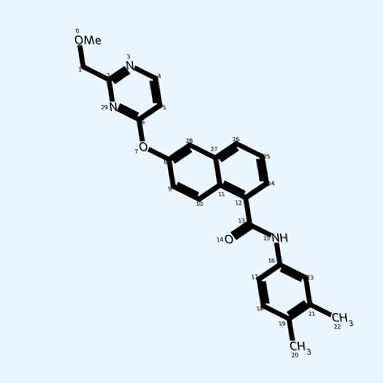 COCc1nccc(Oc2ccc3c(C(=O)Nc4ccc(C)c(C)c4)cccc3c2)n1